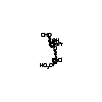 CCCc1c(OCCCSc2ccc(CC(=O)O)cc2Cl)ccc(CCCC=O)c1O